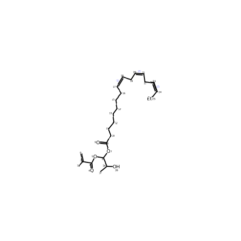 C=C(C)C(=O)OC(OC(=O)CCCCCCC/C=C\C/C=C\C/C=C\CC)C(C)O